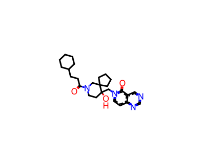 O=C(CCC1CCCCC1)N1CCC(O)(Cn2ccc3ncncc3c2=O)C2(CCCC2)C1